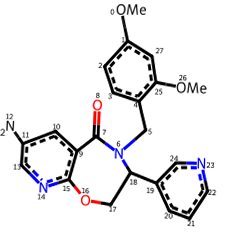 COc1ccc(CN2C(=O)c3cc([N+](=O)[O-])cnc3OCC2c2cccnc2)c(OC)c1